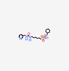 O=C(NCCCCCCS(=O)(=O)NOCC1CCCCC1)NCc1cccnc1